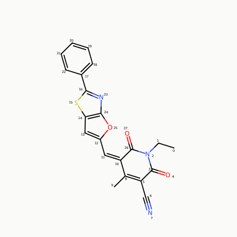 CCN1C(=O)C(C#N)=C(C)/C(=C/c2cc3sc(-c4ccccc4)nc3o2)C1=O